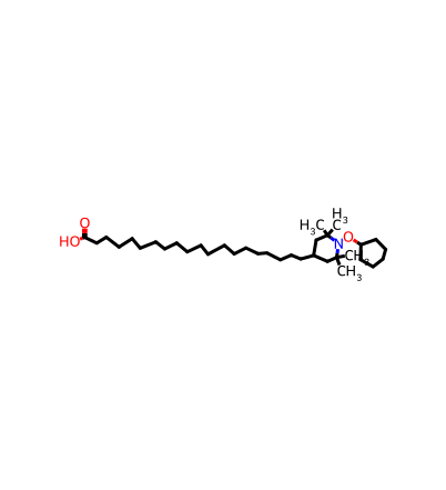 CC1(C)CC(CCCCCCCCCCCCCCCCCCCC(=O)O)CC(C)(C)N1OC1CCCCC1